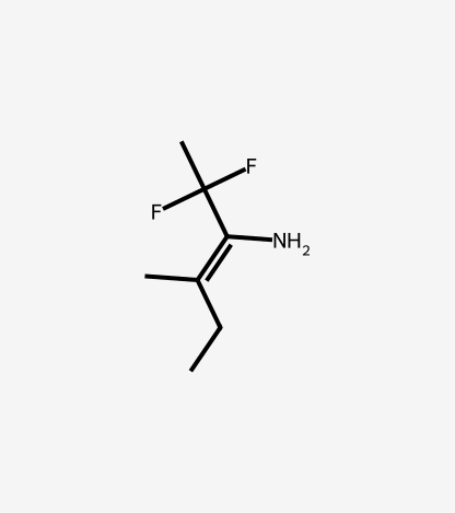 CC/C(C)=C(\N)C(C)(F)F